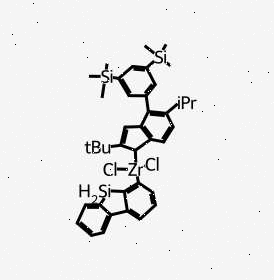 CC(C)c1ccc2c(c1-c1cc([Si](C)(C)C)cc([Si](C)(C)C)c1)C=C(C(C)(C)C)[CH]2[Zr]([Cl])([Cl])[c]1cccc2c1[SiH2]c1ccccc1-2